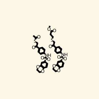 CC(=O)SCC(=O)c1ccc(NS(=O)(=O)c2ccc3c(c2)OCCO3)cc1.COC(=O)CCSCC(=O)c1ccc(NS(=O)(=O)c2ccc3c(c2)OCCO3)cc1